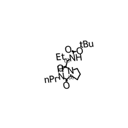 CCCNC(=O)[C@@H]1CCCN1C(=O)[C@H](CC)NC(=O)OC(C)(C)C